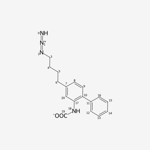 N=[N+]=NCCCCc1ccc(-c2ccccc2)c(NC(=O)[O-])c1